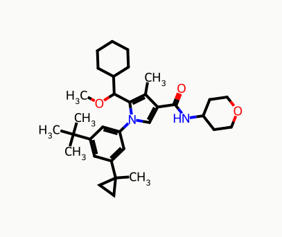 COC(c1c(C)c(C(=O)NC2CCOCC2)cn1-c1cc(C(C)(C)C)cc(C2(C)CC2)c1)C1CCCCC1